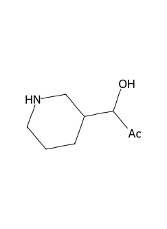 CC(=O)C(O)C1CCCNC1